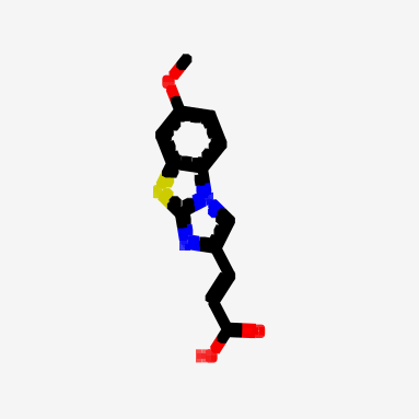 COc1ccc2c(c1)sc1nc(/C=C/C(=O)O)cn12